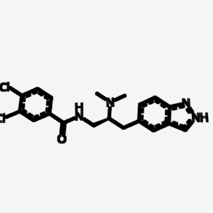 CN(C)[C@H](CNC(=O)c1ccc(Cl)c(Cl)c1)Cc1ccc2n[nH]cc2c1